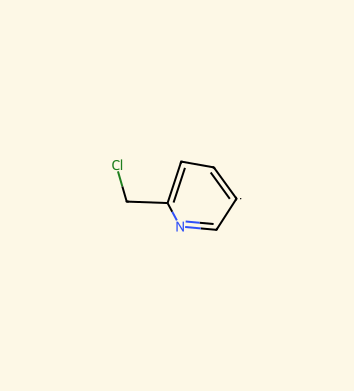 ClCc1cc[c]cn1